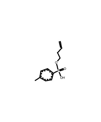 C=CCCOP(=O)(O)c1ccc(C)cc1